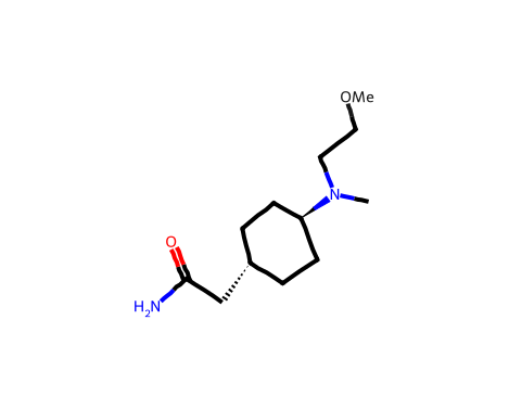 COCCN(C)[C@H]1CC[C@H](CC(N)=O)CC1